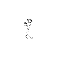 O=c1[nH]c(COCCc2cccc(Cl)c2)nc2nncnc12